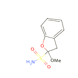 COC1(S(N)(=O)=O)Cc2ccccc2O1